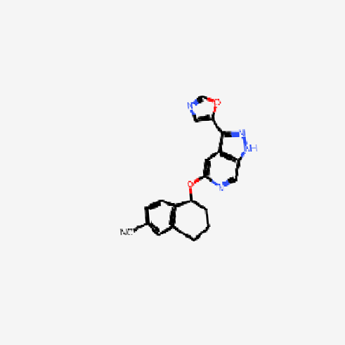 N#Cc1ccc2c(c1)CCCC2Oc1cc2c(-c3cnco3)n[nH]c2cn1